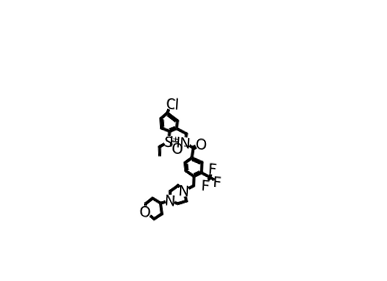 CC[S+]([O-])c1ccc(Cl)cc1CNC(=O)c1ccc(CN2CCN(C3CCOCC3)CC2)c(C(F)(F)F)c1